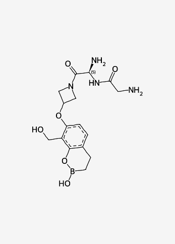 NCC(=O)N[C@H](N)C(=O)N1CC(Oc2ccc3c(c2CO)OB(O)CC3)C1